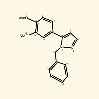 COc1ccc(-c2ccnn2Cc2ccccc2)cc1OC